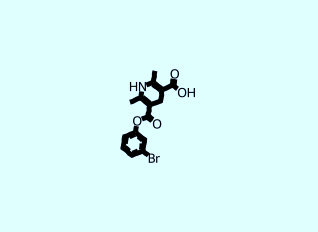 CC1=C(C(=O)O)CC(C(=O)Oc2cccc(Br)c2)=C(C)N1